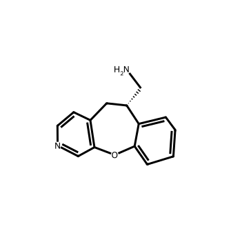 NC[C@H]1Cc2ccncc2Oc2ccccc21